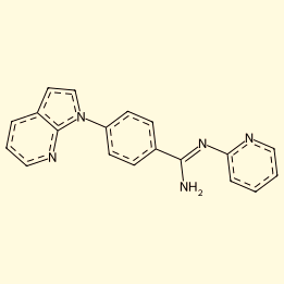 NC(=Nc1ccccn1)c1ccc(-n2ccc3cccnc32)cc1